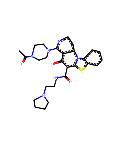 CC(=O)N1CCN(c2nccc3c2c(=O)c(C(=O)NCCN2CCCC2)c2sc4ccccc4n23)CC1